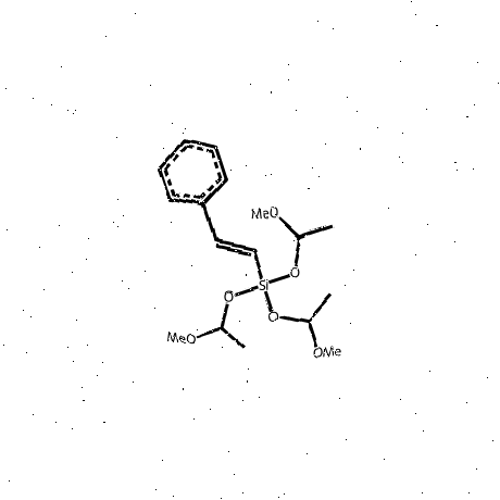 COC(C)O[Si](/C=C/c1ccccc1)(OC(C)OC)OC(C)OC